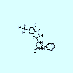 CC(NC(=O)c1cc(=O)[nH]c(-c2ccccc2)n1)c1ccc(C(F)(F)F)cc1Cl